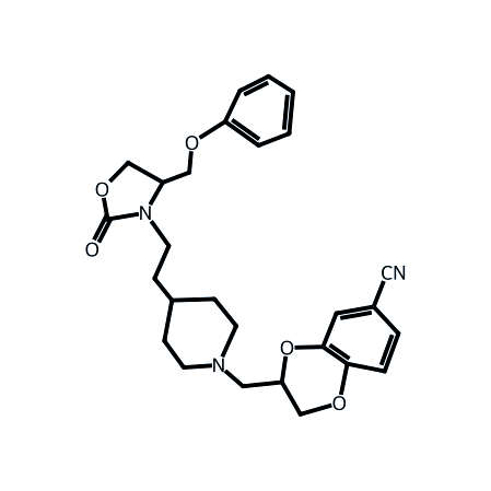 N#Cc1ccc2c(c1)OC(CN1CCC(CCN3C(=O)OCC3COc3ccccc3)CC1)CO2